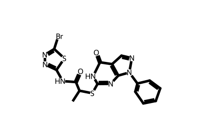 CC(Sc1nc2c(cnn2-c2ccccc2)c(=O)[nH]1)C(=O)Nc1nnc(Br)s1